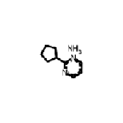 N.c1cnc(C2CCCC2)nc1